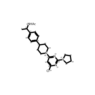 CC(=O)NC(C)c1ccc(C2CCN(c3cc(Cl)nc(N4CCCC4)n3)CC2)cc1